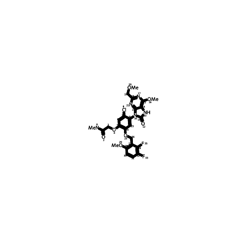 CNC(=O)COc1cc(Cl)c(-n2c(=O)[nH]c3c(OC)nc(COC)nc32)cc1OCc1c(OC)ccc(F)c1F